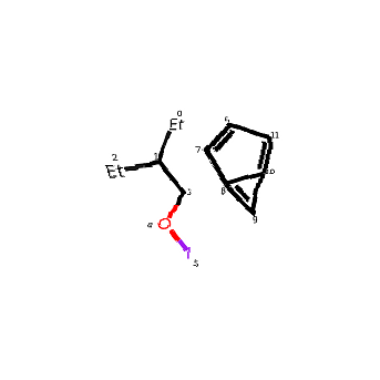 CCC(CC)COI.c1cc2cc-2c1